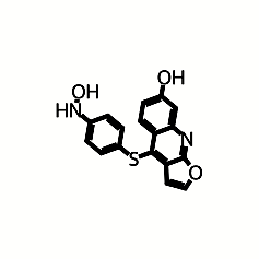 ONc1ccc(Sc2c3ccc(O)cc3nc3occc23)cc1